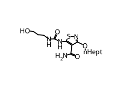 CCCCCCCOc1nsc(NC(=O)NCCCO)c1C(N)=O